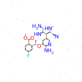 CN/C(C#N)=C(\C(=N)CN)c1cnc(N)c(O[C@H](C)c2cc(F)ccc2C(=O)OC)c1